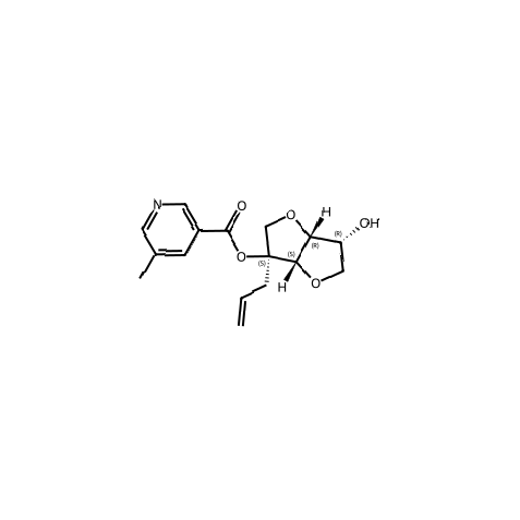 C=CC[C@]1(OC(=O)c2cncc(C)c2)CO[C@@H]2[C@H](O)CO[C@@H]21